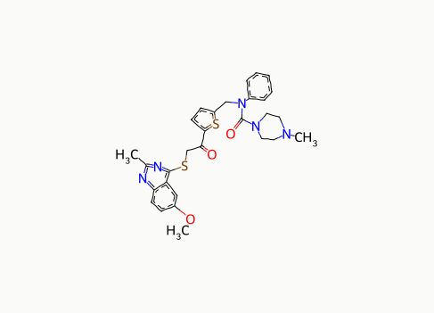 COc1ccc2nc(C)nc(SCC(=O)c3ccc(CN(C(=O)N4CCN(C)CC4)c4ccccc4)s3)c2c1